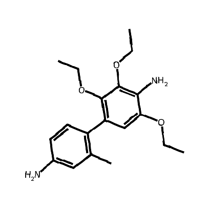 CCOc1cc(-c2ccc(N)cc2C)c(OCC)c(OCC)c1N